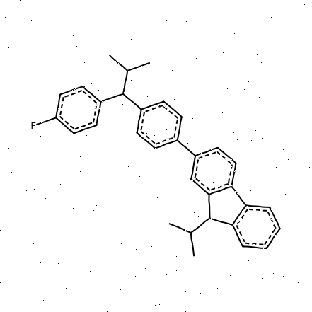 CC(C)C(c1ccc(F)cc1)c1ccc(-c2ccc3c(c2)C(C(C)C)c2ccccc2-3)cc1